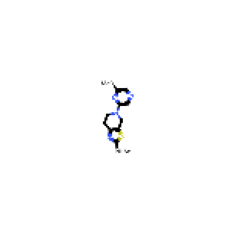 COc1cncc(N2CCc3nc(NC(C)=O)sc3C2)n1